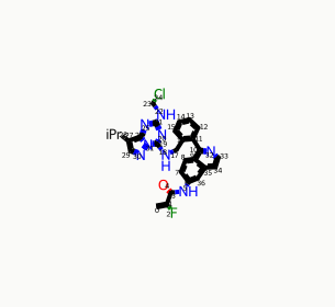 C=C(F)C(=O)Nc1ccc2c(-c3ccccc3CNc3nc(NCCl)nc4c(C(C)C)cnn34)nccc2c1